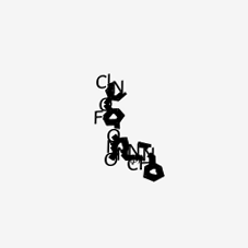 C[C@@]12CN(Cc3ccccc3)CCN1c1cc(OCc3ccc(Oc4ccnc(Cl)c4)c(F)c3)nc(=O)n1C2